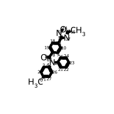 Cc1ccc(N(C(=O)c2ccc(-c3noc(C)n3)cc2)c2ccccc2)cc1